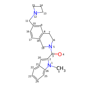 Cn1c(C(=O)N2CCc3cc(CN4CCC4)ccc3C2)cc2ccccc21